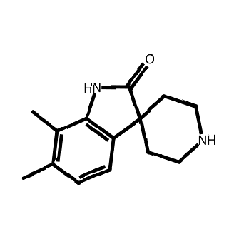 Cc1ccc2c(c1C)NC(=O)C21CCNCC1